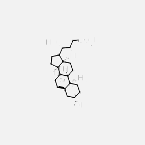 C[C@H](CCC(=O)O)C1CC[C@H]2[C@@H]3CC=C4C[C@@H](O)CC[C@]4(C)[C@H]3CC[C@]12C